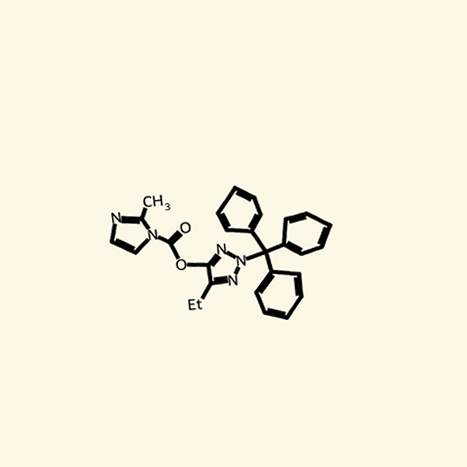 CCc1nn(C(c2ccccc2)(c2ccccc2)c2ccccc2)nc1OC(=O)n1ccnc1C